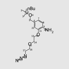 CCCC[Si](C)(C)OCc1ccc(N)c(OCCOCCN=[N+]=[N-])c1